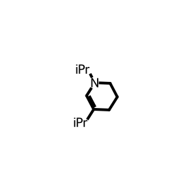 CC(C)C1=CN(C(C)C)CCC1